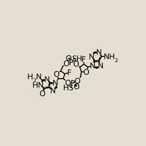 Nc1nc2c(ncn2C2OC3COP(=O)(S)OC4C(COP(=O)(S)OC2C3F)OC(n2cnc3c(N)ncnc32)C4F)c(=O)[nH]1